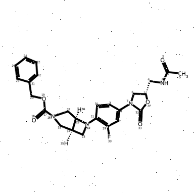 CC(=O)NC[C@H]1CN(c2ccc(N3C[C@H]4CN(C(=O)OCc5ccccc5)C[C@H]43)c(F)c2)C(=O)O1